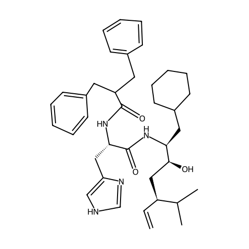 C=C[C@@H](C[C@H](O)[C@H](CC1CCCCC1)NC(=O)[C@H](Cc1c[nH]cn1)NC(=O)C(Cc1ccccc1)Cc1ccccc1)C(C)C